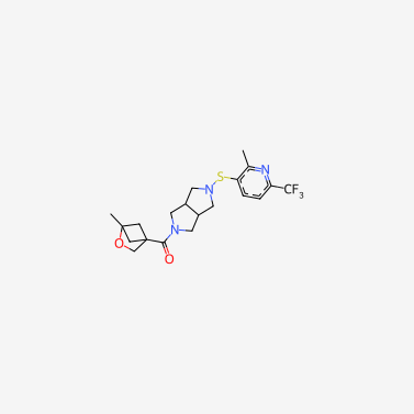 Cc1nc(C(F)(F)F)ccc1SN1CC2CN(C(=O)C34COC(C)(C3)C4)CC2C1